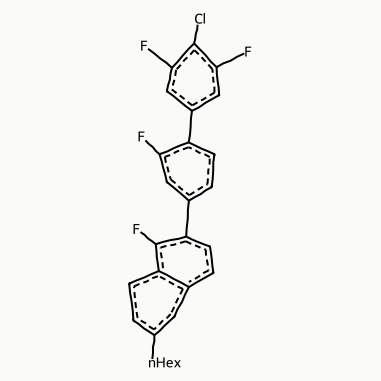 CCCCCCc1ccc2c(F)c(-c3ccc(-c4cc(F)c(Cl)c(F)c4)c(F)c3)ccc2c1